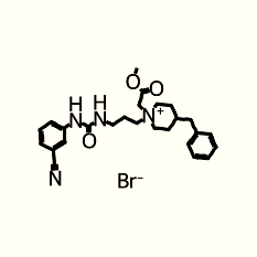 COC(=O)C[N+]1(CCCNC(=O)Nc2cccc(C#N)c2)CCC(Cc2ccccc2)CC1.[Br-]